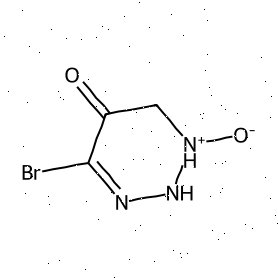 O=C1C[NH+]([O-])NN=C1Br